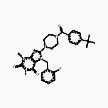 Cn1c(=O)[nH]c(=O)c2c1nc(N1CCN(C(=O)c3ccc(C(C)(C)C)cc3)CC1)n2Cc1ccccc1F